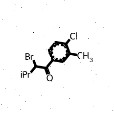 Cc1cc(C(=O)C(Br)C(C)C)ccc1Cl